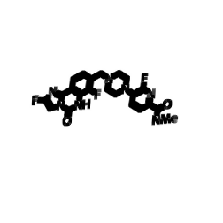 CNC(=O)c1ccc(N2CCN(Cc3ccc4c([nH]c(=O)n5cc(F)nc45)c3F)CC2)c(F)n1